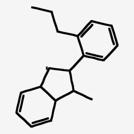 CCCc1ccccc1C1[C]C2C=CC=CC2C1C